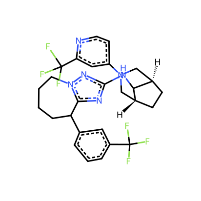 FC(F)(F)c1cccc(C2CCCCn3nc(NC4[C@@H]5CC[C@@H]4CN(c4ccnc(C(F)(F)F)c4)C5)nc32)c1